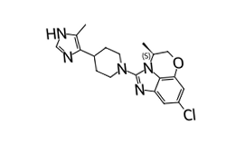 Cc1[nH]cnc1C1CCN(c2nc3cc(Cl)cc4c3n2[C@@H](C)CO4)CC1